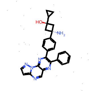 N[C@]1(c2ccc(-c3nc4c(cnc5ccnn54)nc3-c3ccccc3)cc2)C[C@](O)(C2CC2)C1